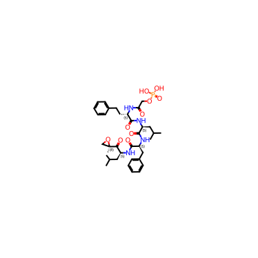 CC(C)C[C@H](NC(=O)[C@H](CCc1ccccc1)NC(=O)COP(=O)(O)O)C(=O)N[C@@H](Cc1ccccc1)C(=O)N[C@@H](CC(C)C)C(=O)[C@@]1(C)CO1